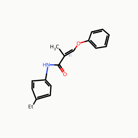 CCc1ccc(NC(=O)/C(C)=C/Oc2ccccc2)cc1